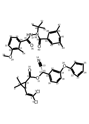 CC1(C)C(C=C(Cl)Cl)C1C(=O)O[C@H](C#N)c1cccc(Oc2ccccc2)c1.COc1cccc(C(=O)NN(C(=O)c2cc(C)cc(C)c2)C(C)(C)C)c1C